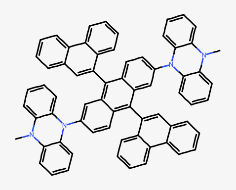 CN1c2ccccc2N(c2ccc3c(-c4cc5ccccc5c5ccccc45)c4cc(N5c6ccccc6N(C)c6ccccc65)ccc4c(-c4cc5ccccc5c5ccccc45)c3c2)c2ccccc21